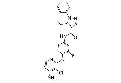 CCc1c(C(=O)Nc2ccc(Oc3ncnc(N)c3Cl)c(F)c2)cnn1-c1ccccc1